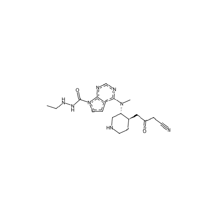 CCNNC(=O)n1ccc2c(N(C)[C@H]3CNCC[C@@H]3CC(=O)CC#N)ncnc21